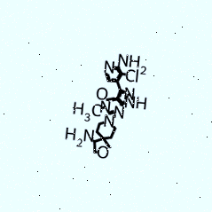 Cn1c(N2CCC3(CC2)COC[C@H]3N)nc2[nH]nc(-c3ccnc(N)c3Cl)c2c1=O